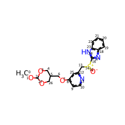 COC1OCC(COc2ccnc(C[S+]([O-])c3nc4ccccc4[nH]3)c2)CO1